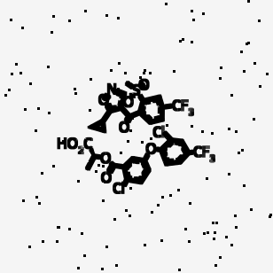 CS(=O)(=O)c1cc(C(F)(F)F)ccc1C(=O)c1cnoc1C1CC1.C[C@H](OC(=O)c1cc(Oc2ccc(C(F)(F)F)cc2Cl)ccc1Cl)C(=O)O